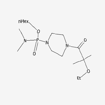 CCCCCCOP(=O)(N(C)C)N1CCN(C(=O)C(C)(C)OCC)CC1